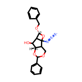 [N-]=[N+]=NC12O[C@@H](OCc3ccccc3)C1C(O)[C@H]1OC(c3ccccc3)OCC12